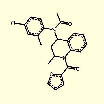 CC(=O)N(c1ccc(Cl)cc1C)C1CC(C)N(C(=O)c2ccco2)c2ccccc21